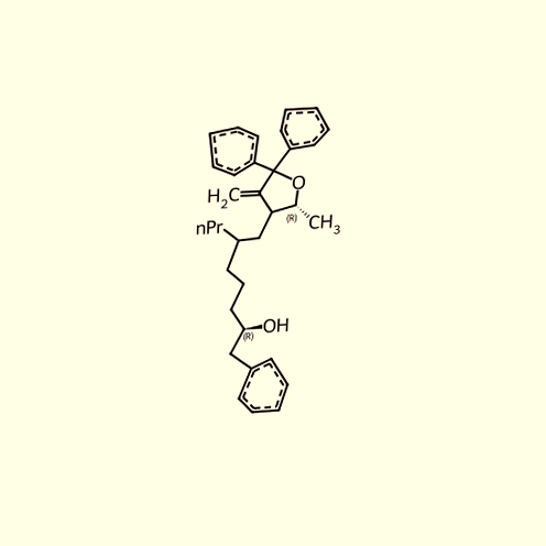 C=C1C(CC(CCC)CCC[C@@H](O)Cc2ccccc2)[C@@H](C)OC1(c1ccccc1)c1ccccc1